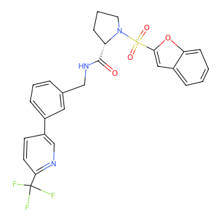 O=C(NCc1cccc(-c2ccc(C(F)(F)F)nc2)c1)[C@@H]1CCCN1S(=O)(=O)c1cc2ccccc2o1